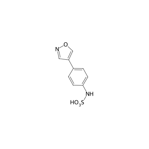 O=S(=O)(O)Nc1ccc(-c2cnoc2)cc1